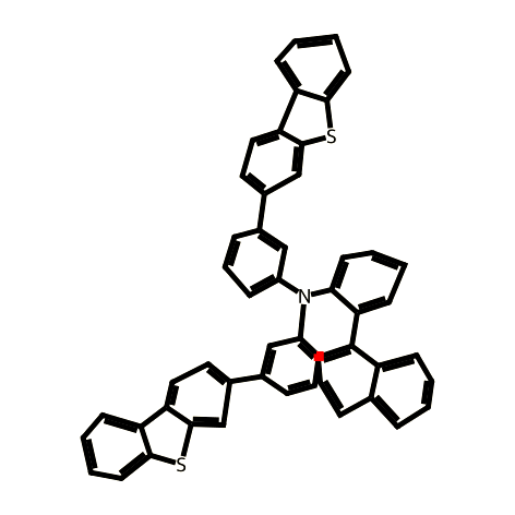 c1cc(-c2ccc3c(c2)sc2ccccc23)cc(N(c2cccc(-c3ccc4c(c3)sc3ccccc34)c2)c2ccccc2-c2cccc3ccccc23)c1